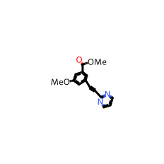 COC(=O)c1cc(C#Cc2ncccn2)cc(OC)c1